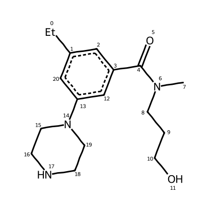 CCc1cc(C(=O)N(C)CCCO)cc(N2CCNCC2)c1